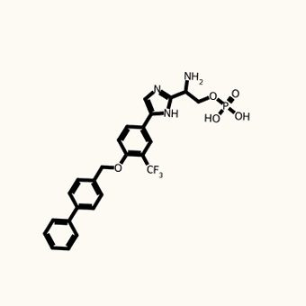 NC(COP(=O)(O)O)c1ncc(-c2ccc(OCc3ccc(-c4ccccc4)cc3)c(C(F)(F)F)c2)[nH]1